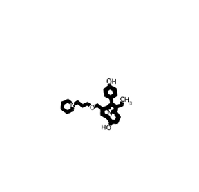 CCc1c(-c2ccc(O)cc2)c2c(COCCCN3CCCCC3)cc3c(O)ccc1n32